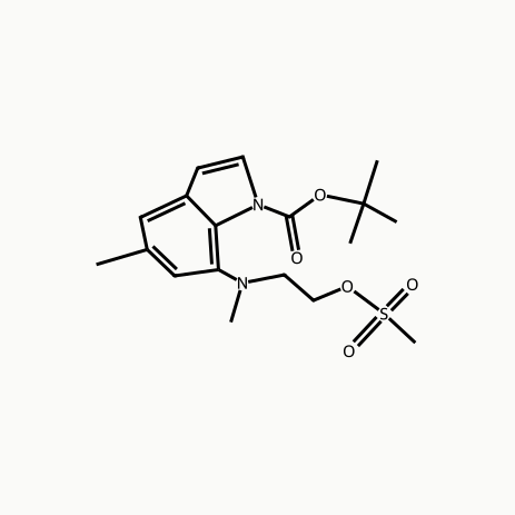 Cc1cc(N(C)CCOS(C)(=O)=O)c2c(ccn2C(=O)OC(C)(C)C)c1